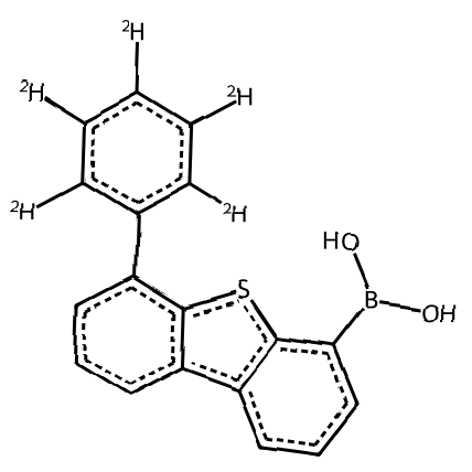 [2H]c1c([2H])c([2H])c(-c2cccc3c2sc2c(B(O)O)cccc23)c([2H])c1[2H]